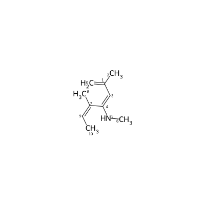 C=C(C)/C=C(NC)\C(C)=C/C